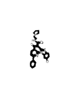 O=C(NCCN1CCCC1)c1c(=O)c2ccc(-c3ccccc3)nc2n2c1sc1ccc(Cl)cc12